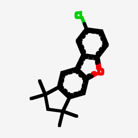 CC1(C)CC(C)(C)c2cc3c(cc21)oc1ccc(Cl)cc13